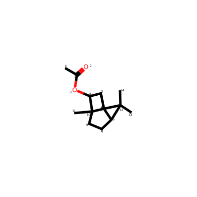 CC(=O)OC1CC23C(CCC12C)C3(C)C